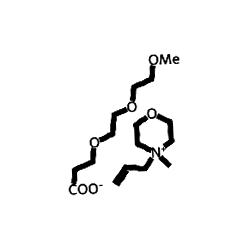 C=CC[N+]1(C)CCOCC1.COCCOCCOCCC(=O)[O-]